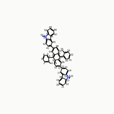 Cc1ccccc1-c1c2ccc(-c3ccc4c(c3)c3ccccc3n4C)cc2c(-c2ccccc2C)c2ccc(-c3ccc4c(c3)c3ccccc3n4C)cc12